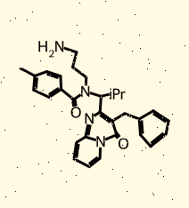 Cc1ccc(C(=O)N(CCCN)C(c2nc3ccccn3c(=O)c2Cc2ccccc2)C(C)C)cc1